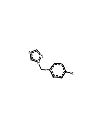 Clc1ccc(Cn2cncn2)cc1